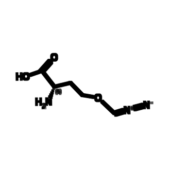 [N-]=[N+]=COCC[C@H](N)C(=O)O